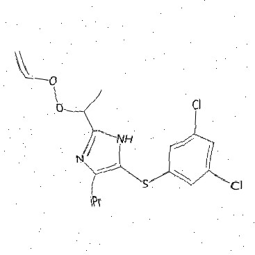 C=COOC(C)c1nc(C(C)C)c(Sc2cc(Cl)cc(Cl)c2)[nH]1